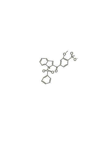 COc1cc(C(=O)c2cc3ccccc3n2S(=O)(=O)c2ccccc2)ccc1[N+](=O)[O-]